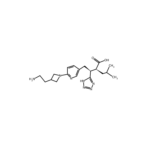 CC(C)C[C@H](C(=O)O)[C@H](Cc1ccc(N2CC(CCN)C2)nc1)c1nnn[nH]1